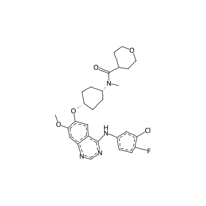 COc1cc2ncnc(Nc3ccc(F)c(Cl)c3)c2cc1O[C@H]1CC[C@@H](N(C)C(=O)C2CCOCC2)CC1